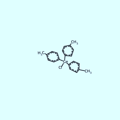 Cc1cc[c]([Ge]([Cl])([c]2ccc(C)cc2)[c]2ccc(C)cc2)cc1